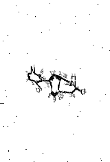 Cc1ccncc1-c1ccc2c(c1)NC(=O)C2